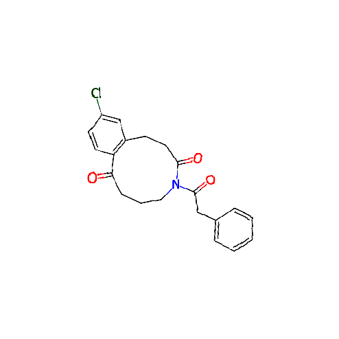 O=C1CCCN(C(=O)Cc2ccccc2)C(=O)CCc2cc(Cl)ccc21